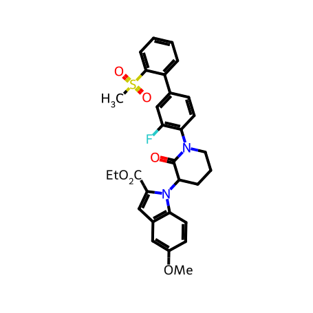 CCOC(=O)c1cc2cc(OC)ccc2n1C1CCCN(c2ccc(-c3ccccc3S(C)(=O)=O)cc2F)C1=O